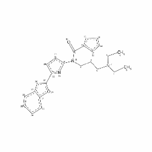 CCN(CC)CCCN(C(=O)c1cccs1)c1nc(-c2cc3ccccc3o2)cs1